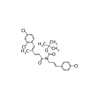 CC(C=CC(=O)N(CC=Cc1ccc(Cl)cc1)C(=O)OC(C)(C)C)=Cc1ccc(Cl)cc1Cl